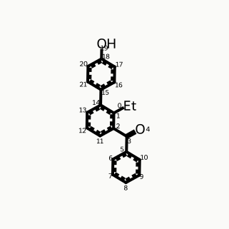 CCc1c(C(=O)c2ccccc2)cccc1-c1ccc(O)cc1